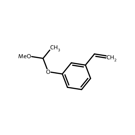 C=Cc1cccc(OC(C)OC)c1